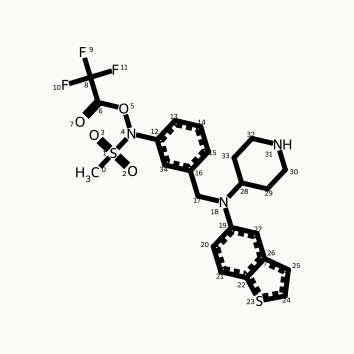 CS(=O)(=O)N(OC(=O)C(F)(F)F)c1cccc(CN(c2ccc3sccc3c2)C2CCNCC2)c1